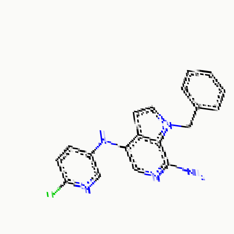 Nc1ncc(Nc2ccc(Cl)nc2)c2ccn(Cc3ccccc3)c12